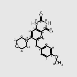 COc1ccc(Cc2nc3c(=O)[nH]c(=O)[nH]c3cc2N2CCOCC2)cc1